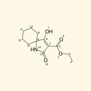 CCOC(=O)C1=C(O)C2(CCCCC2)NC1=O